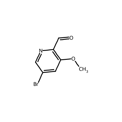 COc1cc(Br)cnc1C=O